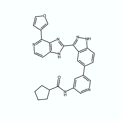 O=C(Nc1cncc(-c2ccc3[nH]nc(-c4nc5c(-c6ccoc6)nccc5[nH]4)c3c2)c1)C1CCCC1